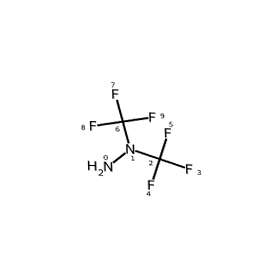 NN(C(F)(F)F)C(F)(F)F